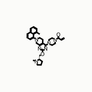 C=CC(=O)N1CCN(c2nc(OC[C@@H]3CCCN3C)nc3c2CCN(c2cccc4cccc(C)c24)C3)CC1